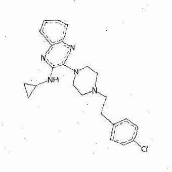 Clc1ccc(CCN2CCN(c3nc4ccccc4nc3NC3CC3)CC2)cc1